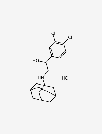 Cl.OC(CNC12CC3CC(CC(C3)C1)C2)c1ccc(Cl)c(Cl)c1